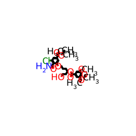 COc1cc(C(=O)OC(CCO)CCCOc2cc(C(=O)OC(C)(C)C)cc(Cl)c2C(N)=O)cc(OC)c1OC